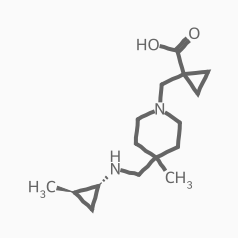 C[C@@H]1C[C@H]1NCC1(C)CCN(CC2(C(=O)O)CC2)CC1